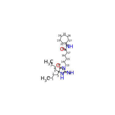 CCCCC1(CCCC)NC(=N)N(CCCCCC(=O)NC2CCCCCC2)C1=O